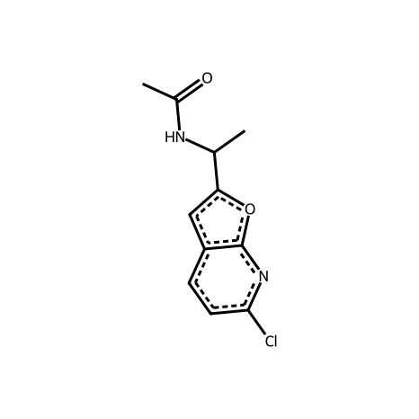 CC(=O)NC(C)c1cc2ccc(Cl)nc2o1